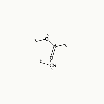 CC#N.COC(C)=O